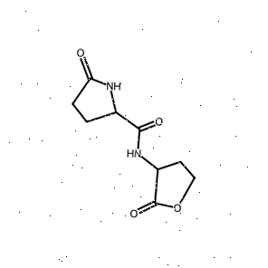 O=C1CCC(C(=O)NC2CCOC2=O)N1